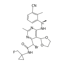 Cc1nc(N[C@H](C)c2cccc(C#N)c2C)c(C2OCCO2)c(C(Br)C(=O)NC2(CF)CC2)n1